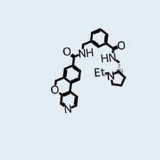 CCN1CCC[C@H]1CNC(=O)c1cccc(CNC(=O)c2ccc3c(c2)COc2cnccc2-3)c1